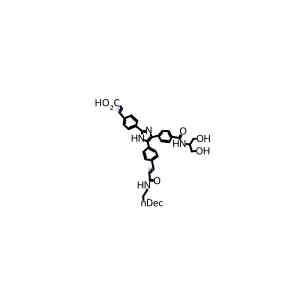 CCCCCCCCCCCCNC(=O)/C=C/c1ccc(-c2[nH]c(-c3ccc(/C=C/C(=O)O)cc3)nc2-c2ccc(C(=O)NC(CO)CO)cc2)cc1